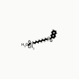 C=C(C)C(=O)OCCCCCCCCCCOC(=O)c1ccc2ccccc2c1